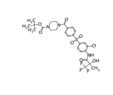 CC(C)(C)OC(=O)N1CCN(C(=O)c2ccc(S(=O)(=O)c3ccc(NC(=O)C(C)(O)C(F)(F)F)c(Cl)c3)cc2)CC1